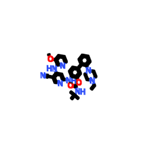 CCN1CCN(c2ccccc2-c2ccc(Nc3cc(Nc4ncccc4OC)c(C#N)cn3)c(OC(=O)NC(C)(C)C)c2)CC1